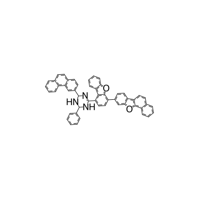 c1ccc(C2NC(c3ccc(-c4ccc5c(c4)oc4c6ccccc6ccc54)c4oc5ccccc5c34)=NC(c3ccc4ccc5ccccc5c4c3)N2)cc1